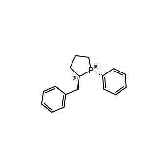 c1ccc(C[C@H]2CCC[P@]2c2ccccc2)cc1